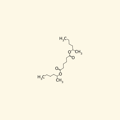 CCCCC(C)OC(=O)CCCCC(=O)OC(C)CCCC